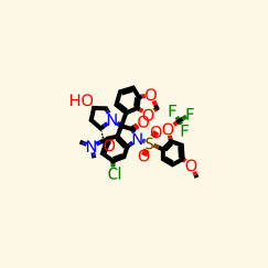 COc1ccc(S(=O)(=O)N2C(=O)C(c3cccc4c3OCO4)(N3C[C@H](O)C[C@H]3C(=O)N(C)C)c3ccc(Cl)cc32)c(OC(F)(F)F)c1